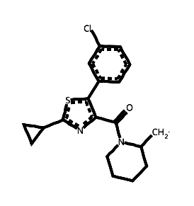 [CH2]C1CCCCN1C(=O)c1nc(C2CC2)sc1-c1cccc(Cl)c1